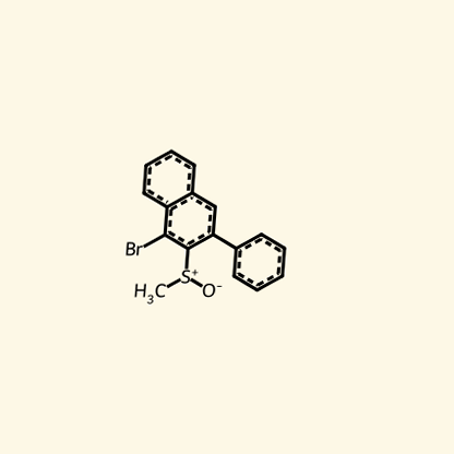 C[S+]([O-])c1c(-c2ccccc2)cc2ccccc2c1Br